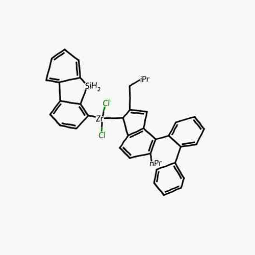 CCCc1ccc2c(c1-c1ccccc1-c1ccccc1)C=C(CC(C)C)[CH]2[Zr]([Cl])([Cl])[c]1cccc2c1[SiH2]c1ccccc1-2